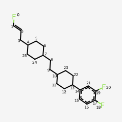 F/C=C/CC1CCC(CCC2CCC(c3ccc(F)c(F)c3)CC2)CC1